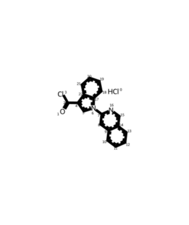 Cl.O=C(Cl)c1cn(-c2cc3ccccc3cn2)c2ccccc12